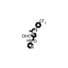 CC(CN(C)c1ccc(C(F)(F)F)cc1)n1ccc(C(=O)Nc2cccnc2)c1C=O